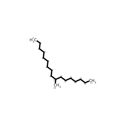 CCCCCCCCCC(C)CCCCCCC